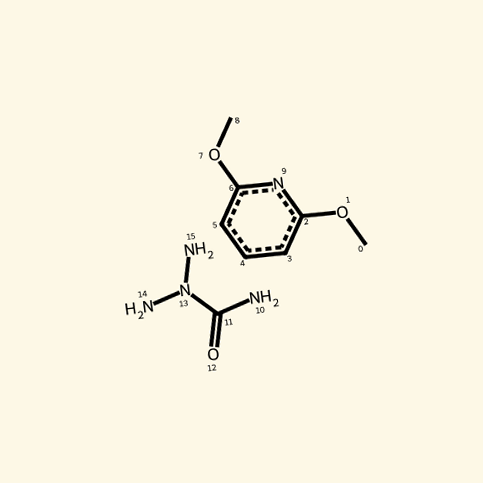 COc1cccc(OC)n1.NC(=O)N(N)N